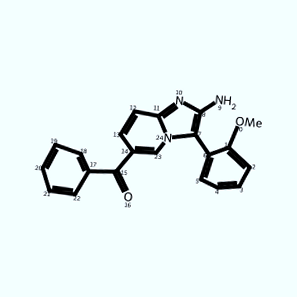 COc1ccccc1-c1c(N)nc2ccc(C(=O)c3ccccc3)cn12